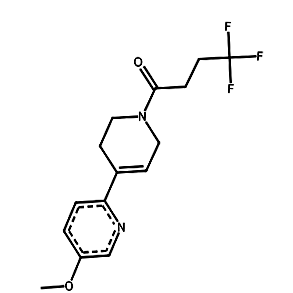 COc1ccc(C2=CCN(C(=O)CCC(F)(F)F)CC2)nc1